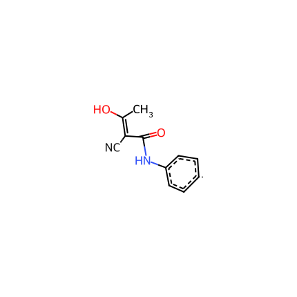 C/C(O)=C(/C#N)C(=O)Nc1cc[c]cc1